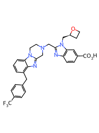 O=C(O)c1ccc2nc(CN3CCn4c(nc5c(Cc6ccc(C(F)(F)F)cc6)cccc54)C3)n(C[C@@H]3CCO3)c2c1